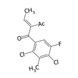 C/C=C(\C(C)=O)C(=O)c1cc(F)c(Cl)c(C)c1Cl